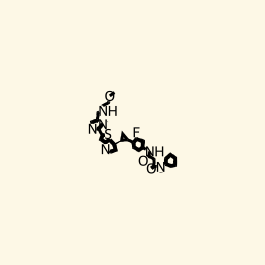 COCCNCc1cnc(-c2cc3nccc([C@H]4CC4c4ccc(NC(=O)CC(=O)N(C)c5ccccc5)cc4F)c3s2)n1C